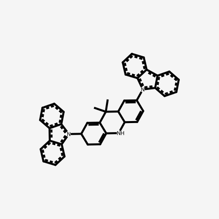 CC1(C)C2=CC(n3c4ccccc4c4ccccc43)CC=C2NC2C=CC(n3c4ccccc4c4ccccc43)=CC21